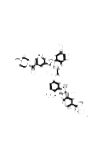 COc1ccc(OCCOc2ccc(Cl)cc2S(=O)(=O)Nc2cncc(C(=O)N3CCN(C)CC3)c2)cc1S(=O)(=O)Nc1cncc(C(N)=O)c1